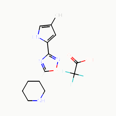 Cc1c[nH]c(-c2noc([C@H]3CCCNC3)n2)c1.O=C(O)C(F)(F)F